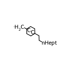 [CH2]C12CCC(CCCCCCCCC)(CC1)CC2